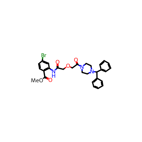 COC(=O)c1ccc(Br)cc1NC(=O)COCC(=O)N1CCN(C(c2ccccc2)c2ccccc2)CC1